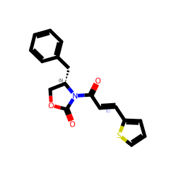 O=C(/C=C/c1cccs1)N1C(=O)OC[C@@H]1Cc1ccccc1